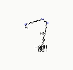 CC/C=C\CC=CCC=CC/C=C\C/C=C\CCCCNCCSSCCNP(=O)(O)O